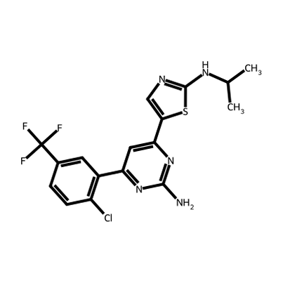 CC(C)Nc1ncc(-c2cc(-c3cc(C(F)(F)F)ccc3Cl)nc(N)n2)s1